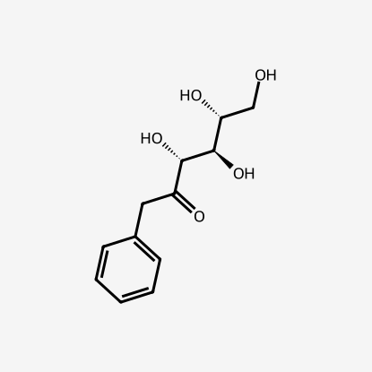 O=C(Cc1ccccc1)[C@H](O)[C@H](O)[C@H](O)CO